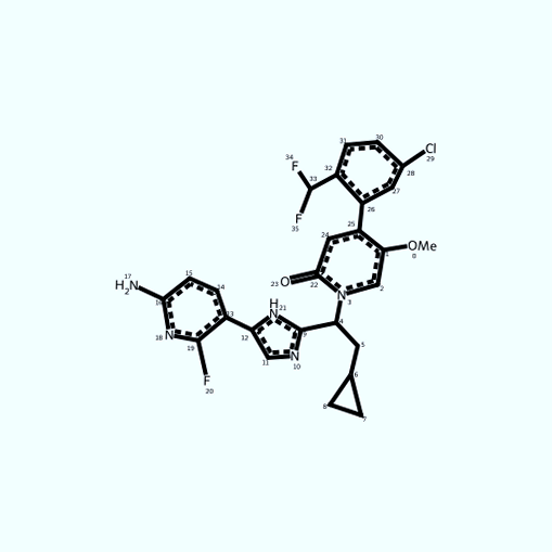 COc1cn(C(CC2CC2)c2ncc(-c3ccc(N)nc3F)[nH]2)c(=O)cc1-c1cc(Cl)ccc1C(F)F